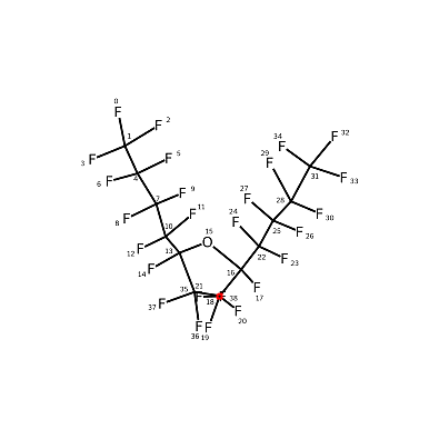 FC(F)(F)C(F)(F)C(F)(F)C(F)(F)C(F)(OC(F)(C(F)(F)F)C(F)(F)C(F)(F)C(F)(F)C(F)(F)F)C(F)(F)F